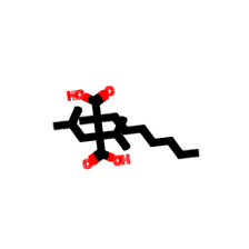 CCCCCCCC(C)(C(=O)O)C(CC(C)C)(C(=O)O)C(C)C